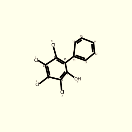 Oc1c(Cl)c(Cl)c(Cl)c(Cl)c1-c1ccccc1